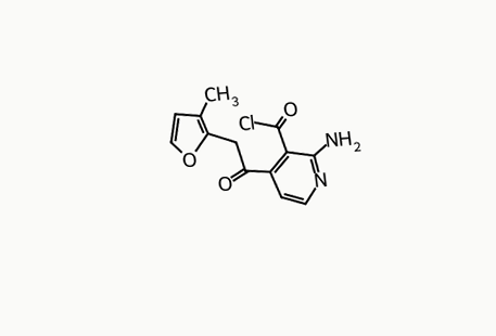 Cc1ccoc1CC(=O)c1ccnc(N)c1C(=O)Cl